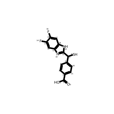 O=C(O)c1ccc(C(S)c2nc3cc(F)c(F)cc3[nH]2)cc1